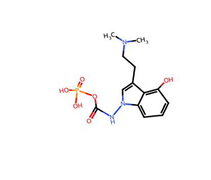 CN(C)CCc1cn(NC(=O)OP(=O)(O)O)c2cccc(O)c12